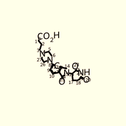 O=C(O)CCCN1CCN(c2ccc3c(c2)CN(C2CCC(=O)NC2=O)C3=O)CC1